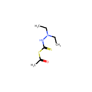 CCN(CC)NC(=S)SC(C)=O